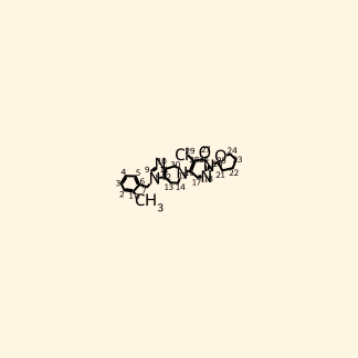 Cc1ccccc1Cn1cnc2c1CCN(c1cnn(C3CCCCO3)c(=O)c1Cl)C2